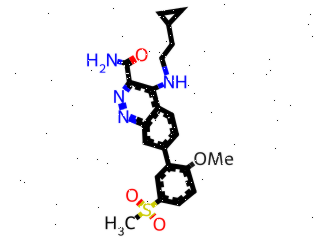 COc1ccc(S(C)(=O)=O)cc1-c1ccc2c(NCCC3CC3)c(C(N)=O)nnc2c1